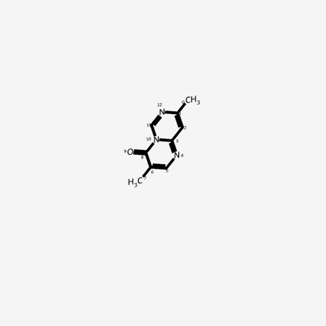 Cc1cc2ncc(C)c(=O)n2cn1